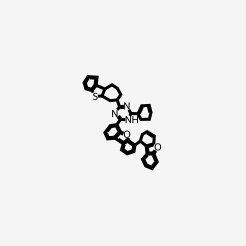 C1=CCCC(C2N=C(C3CCCC4c5ccccc5SC4C3)N=C(c3cccc4c3oc3c(C5CC=Cc6oc7ccccc7c65)cccc34)N2)=C1